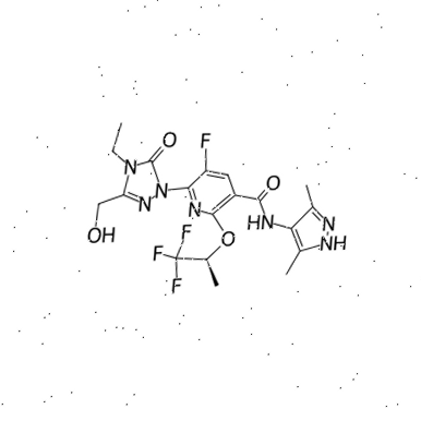 CCn1c(CO)nn(-c2nc(O[C@@H](C)C(F)(F)F)c(C(=O)Nc3c(C)n[nH]c3C)cc2F)c1=O